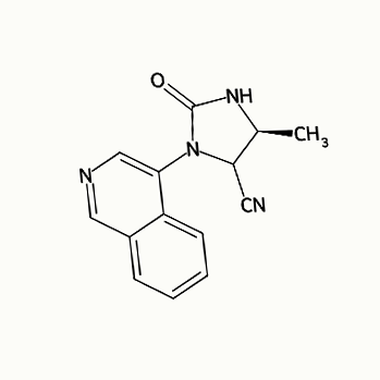 C[C@@H]1NC(=O)N(c2cncc3ccccc23)C1C#N